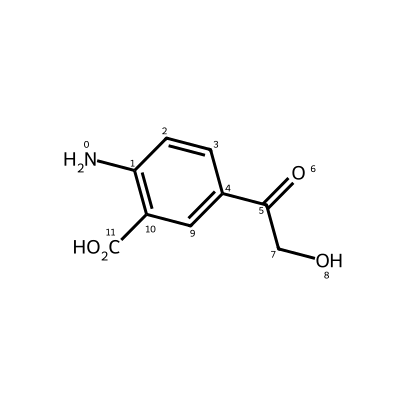 Nc1ccc(C(=O)CO)cc1C(=O)O